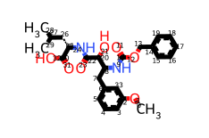 COc1cccc(CC(NC(=O)OCc2ccccc2)C(O)C(=O)N[C@@H](CC(C)C)C(=O)O)c1